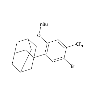 CCCCOc1cc(C(F)(F)F)c(Br)cc1C12CC3CC(CC(C3)C1)C2